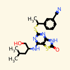 CC(C)CC(CO)Nc1nc(SC(C)c2cccc(C#N)c2)nc2[nH]c(=O)sc12